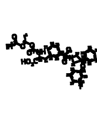 CC(C)C(=O)O[C@@H](C)OC(=O)NC(Cc1cccc(S(=O)(=O)N2CC(Oc3cccc(F)c3)(c3ccccc3)C2)c1)C(=O)O